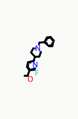 CC(=O)c1ccc(C2CCN(Cc3ccccc3)CC2)nc1F